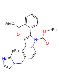 CCCCc1nccn1Cc1ccc2c(c1)cc(-c1ccccc1C(=O)OC)n2C(=O)OC(C)(C)C